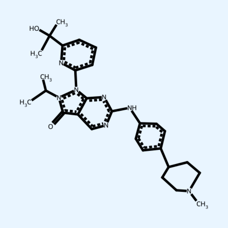 CC(C)n1c(=O)c2cnc(Nc3ccc(C4CCN(C)CC4)cc3)nc2n1-c1cccc(C(C)(C)O)n1